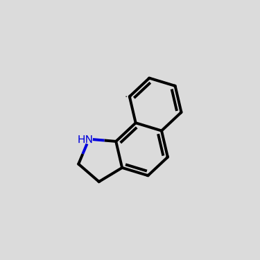 [c]1cccc2ccc3c(c12)NCC3